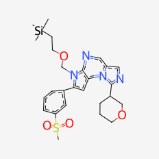 C[Si](C)(C)CCOCn1c(-c2cccc(S(C)(=O)=O)c2)cc2c1ncc1cnc(C3CCCOC3)n12